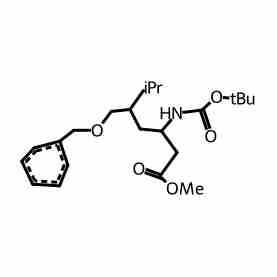 COC(=O)CC(CC(COCc1ccccc1)C(C)C)NC(=O)OC(C)(C)C